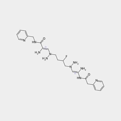 N/C(=C\N(N)CCC(F)CN(N)/C=C(\N)NC(=O)Cc1ccccn1)C(=O)NCc1ccccn1